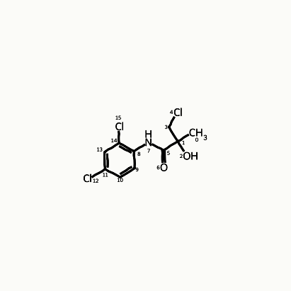 CC(O)(CCl)C(=O)Nc1ccc(Cl)cc1Cl